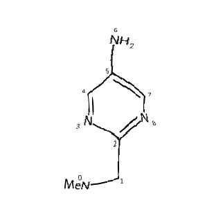 CNCc1ncc(N)cn1